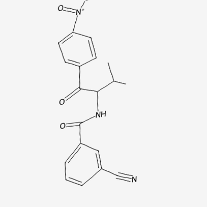 CC(C)C(NC(=O)c1cccc(C#N)c1)C(=O)c1ccc([N+](=O)[O-])cc1